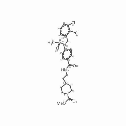 COC(=O)N1CCN(CCNC(=O)c2ccc(N(Cc3cccc(Cl)c3Cl)S(C)(=O)=O)cc2)CC1